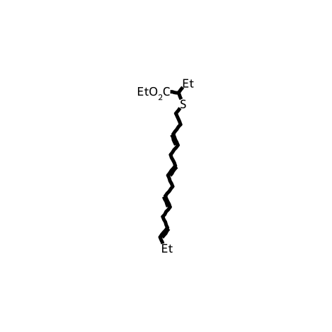 CCC=CCC=CCC=CCC=CCCSC(CC)C(=O)OCC